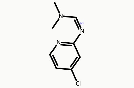 CN(C)/C=N\c1cc(Cl)ccn1